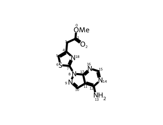 COC(=O)Cc1csc(-n2ncc3c(N)ncnc32)n1